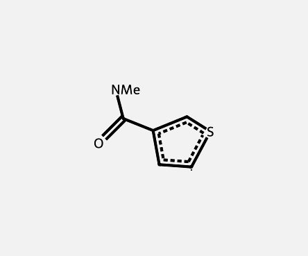 CNC(=O)c1c[c]sc1